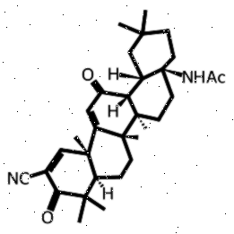 CC(=O)N[C@]12CCC(C)(C)C[C@H]1[C@H]1C(=O)C=C3[C@@]4(C)C=C(C#N)C(=O)C(C)(C)[C@@H]4CC[C@@]3(C)[C@]1(C)CC2